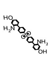 Nc1cc(O)ccc1-c1ccc(S(=O)(=O)c2ccc(-c3ccc(O)cc3N)cc2)cc1